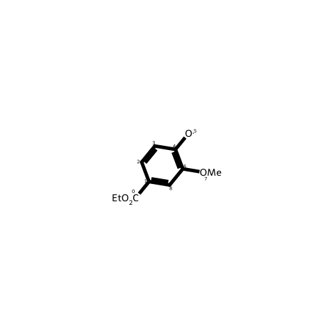 CCOC(=O)c1ccc([O])c(OC)c1